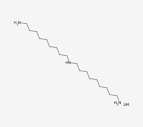 NCCCCCCCCCNCCCCCCCCCN.[LiH]